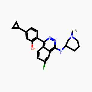 CN1CCCC(Nc2nnc(-c3ccc(C4CC4)cc3O)c3ccc(Br)cc23)C1